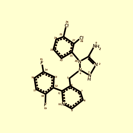 NC1=NNN(Cc2cccnc2-c2cc(F)ccc2F)N1c1cccc(Cl)c1Cl